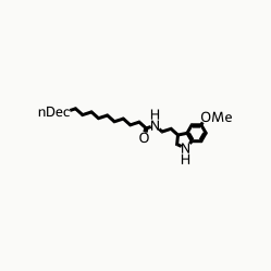 CCCCCCCCCCCCCCCCCCCC(=O)NCCC1CNc2ccc(OC)cc21